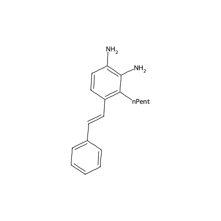 CCCCCc1c(C=Cc2ccccc2)ccc(N)c1N